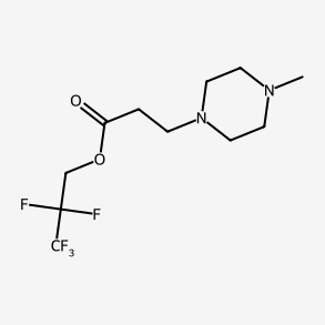 CN1CCN(CCC(=O)OCC(F)(F)C(F)(F)F)CC1